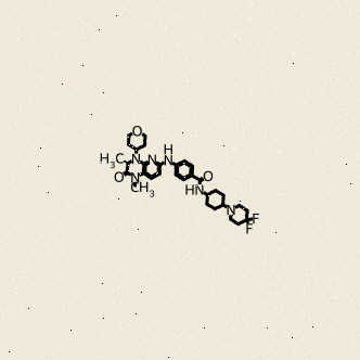 C[C@@H]1C(=O)N(C)c2ccc(Nc3ccc(C(=O)NC4CCC(N5CCC(F)(F)CC5)CC4)cc3)nc2N1C1CCOCC1